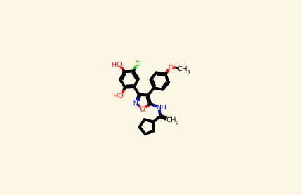 C=C(Nc1onc(-c2cc(Cl)c(O)cc2O)c1-c1ccc(OC)cc1)C1CCCC1